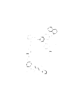 CCCC(c1ccc(CCC(=O)NCCCCN2CCC[C@H]2COc2nc3c(c(N4CCN(C(=O)OC(C)(C)C)[C@@H](CC#N)C4)n2)CCN(c2cccc4cccc(Cl)c24)C3)cc1)N(C)C(=O)/C(C#N)=C/c1nccs1